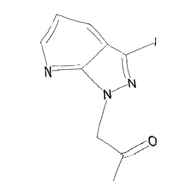 CC(=O)Cn1nc(I)c2cccnc21